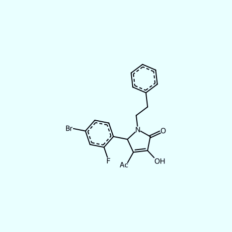 CC(=O)C1=C(O)C(=O)N(CCc2ccccc2)C1c1ccc(Br)cc1F